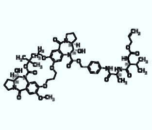 C=CCOC(=O)N[C@H](C(=O)N[C@@H](C)C(=O)Nc1ccc(COC(=O)N2c3cc(OCCCOc4cc5c(cc4OC)C(=O)N4CCC[C@H]4[C@H](O)N5C(=O)OC(C)(C)C)c(OC)cc3C(=O)N3CCC[C@H]3[C@@H]2O)cc1)C(C)C